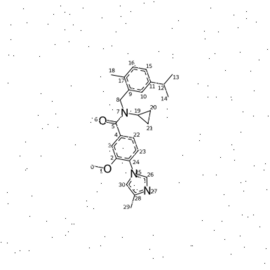 COc1cc(C(=O)N(Cc2cc(C(C)C)ccc2C)C2CC2)ccc1-n1cnc(C)c1